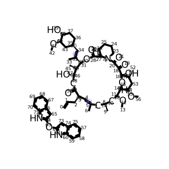 C=CC[C@@H]1/C=C(\C)C[C@H](C)C[C@H](OC)[C@H]2O[C@@](O)(C(=O)C(=O)N3CCCC[C@H]3C(=O)O[C@H](/C(C)=C/[C@@H]3CC[C@@H](O)[C@H](OC)C3)[C@H](C)[C@@H](O)CC1=O)[C@H](C)C[C@@H]2OC.c1ccc2[nH]c(Oc3cc4ccccc4[nH]3)cc2c1